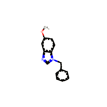 COc1ccc2c(c1)ncn2Cc1ccccc1